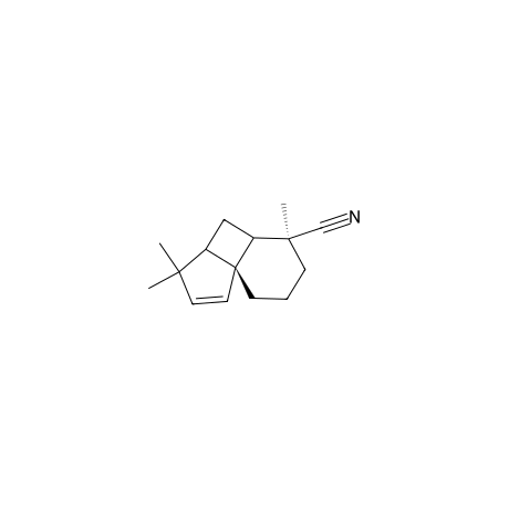 CC1(C)C=C[C@@]23CCC[C@](C)(C#N)C2CC13